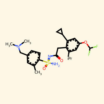 Cc1cc(CN(C)C)ccc1S(N)(=O)=NC(=O)Cc1c(C(C)C)cc(OC(F)F)cc1C1CC1